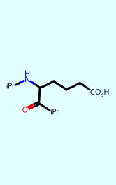 CC(C)NC(CCCC(=O)O)C(=O)C(C)C